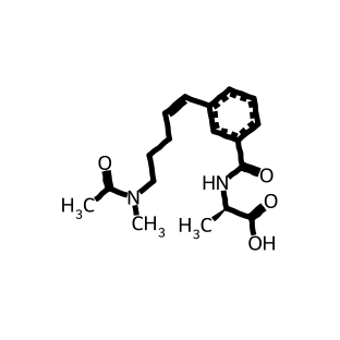 CC(=O)N(C)CCC/C=C\c1cccc(C(=O)N[C@H](C)C(=O)O)c1